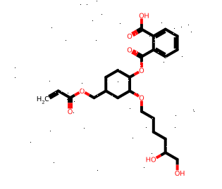 C=CC(=O)OCC1CCC(OC(=O)c2ccccc2C(=O)O)C(OCCCCC(O)CO)C1